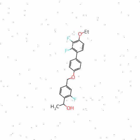 CCOc1ccc(-c2ccc(OCc3ccc(C(C)O)c(F)c3)cc2)c(F)c1F